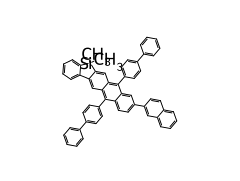 C[Si]1(C)c2ccccc2-c2cc3c(-c4ccc(-c5ccccc5)cc4)c4ccc(-c5ccc6ccccc6c5)cc4c(-c4ccc(-c5ccccc5)cc4)c3cc21